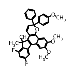 COc1ccc(C2(c3ccccc3)C=Cc3c4c(c5cc(OC)c(OC)cc5c3O2)-c2cc(F)cc(F)c2C4(C)C)cc1